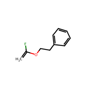 C=C(F)OCCc1ccccc1